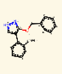 COc1ccccc1-c1c[nH]nc1OCc1ccccc1